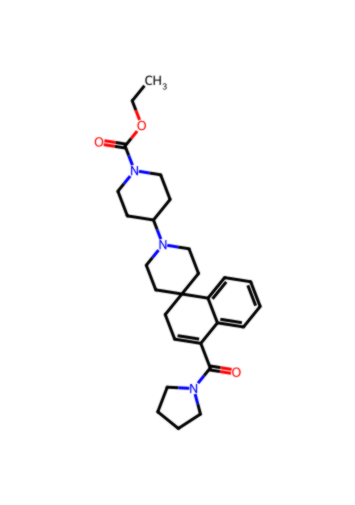 CCOC(=O)N1CCC(N2CCC3(CC=C(C(=O)N4CCCC4)c4ccccc43)CC2)CC1